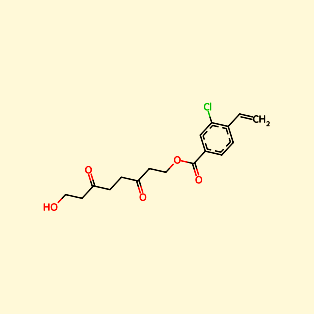 C=Cc1ccc(C(=O)OCCC(=O)CCC(=O)CCO)cc1Cl